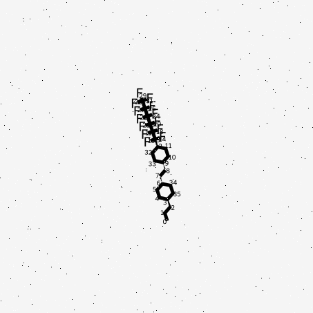 CCC[C@H]1CC[C@H](CC[C@H]2CC[C@H](C(F)(F)C(F)(F)C(F)(F)C(F)(F)C(F)(F)C(F)(F)F)CC2)CC1